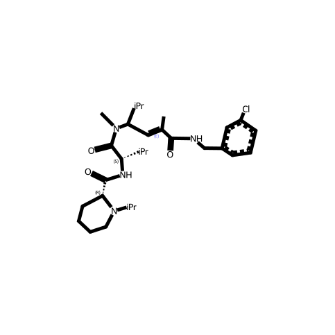 C/C(=C\C(C(C)C)N(C)C(=O)[C@@H](NC(=O)[C@H]1CCCCN1C(C)C)C(C)C)C(=O)NCc1cccc(Cl)c1